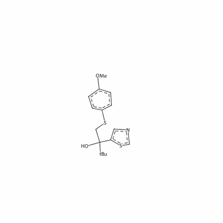 COc1ccc(SCC(O)(c2cncs2)C(C)(C)C)cc1